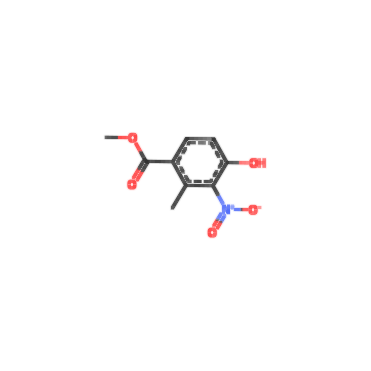 COC(=O)c1ccc(O)c([N+](=O)[O-])c1C